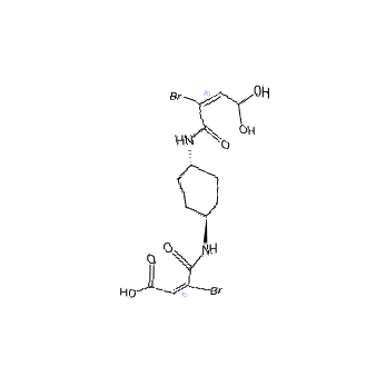 O=C(O)/C=C(/Br)C(=O)N[C@H]1CC[C@H](NC(=O)/C(Br)=C\C(O)O)CC1